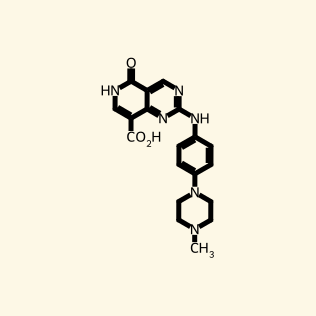 CN1CCN(c2ccc(Nc3ncc4c(=O)[nH]cc(C(=O)O)c4n3)cc2)CC1